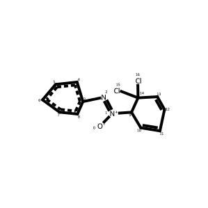 [O-][N+](=Nc1ccccc1)C1C=CC=CC1(Cl)Cl